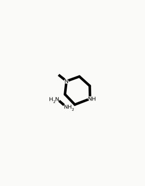 CN1CCNCC1.NN